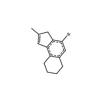 CC1=Cc2c(c(Br)cc3c2CCCC3)C1